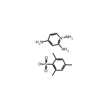 Cc1cc(C)c(S(=O)(=O)[O-])c(C)c1.Nc1cc[n+](N)c(N)c1